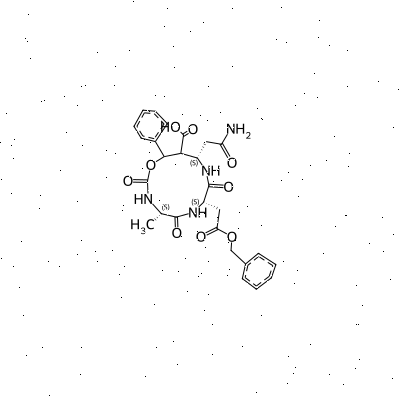 C[C@@H]1NC(=O)OC(c2ccccc2)C(C(=O)O)[C@H](CC(N)=O)NC(=O)[C@H](CC(=O)OCc2ccccc2)NC1=O